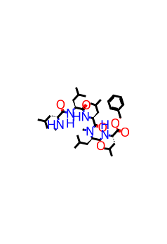 CN[C@H](CC(C)C)C(=O)N[C@@H](CC(C)C)C(=O)N[C@@H](CC(C)C)C(=O)N(C)[C@H](CC(C)C)C(=O)N[C@@H](CC(C)C)C(=O)OCc1ccccc1